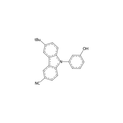 CC(C)(C)c1ccc2c(c1)c1cc(C#N)ccc1n2-c1cccc(O)c1